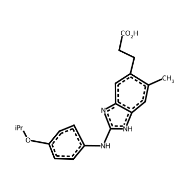 Cc1cc2[nH]c(Nc3ccc(OC(C)C)cc3)nc2cc1CCC(=O)O